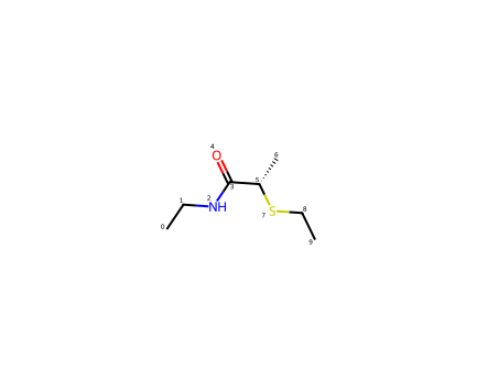 CCNC(=O)[C@H](C)SCC